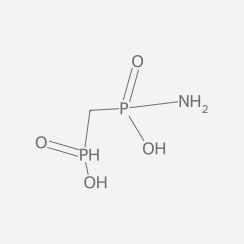 NP(=O)(O)C[PH](=O)O